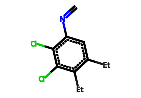 C=Nc1cc(CC)c(CC)c(Cl)c1Cl